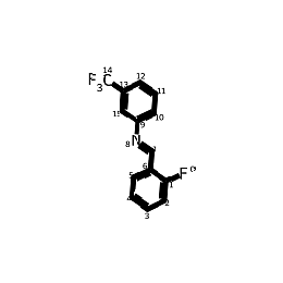 Fc1ccccc1C=Nc1cccc(C(F)(F)F)c1